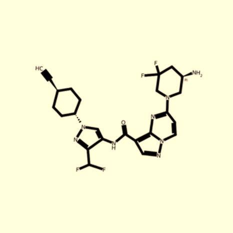 C#C[C@H]1CC[C@H](n2cc(NC(=O)c3cnn4ccc(N5C[C@H](N)CC(F)(F)C5)nc34)c(C(F)F)n2)CC1